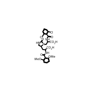 COc1cccc(OC)c1C(=O)NC(CC1CNC(=O)N1CC(NC(=O)c1c(Cl)cccc1Cl)C(=O)O)C(=O)O